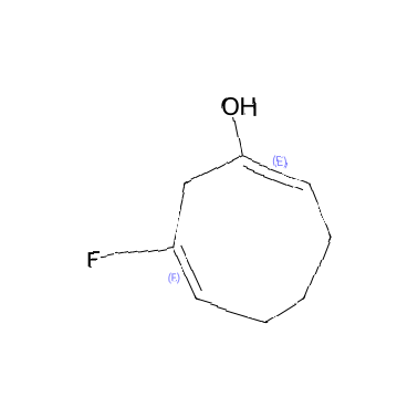 O/C1=C/CCC/C=C(/F)C1